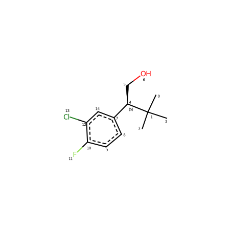 CC(C)(C)[C@H](CO)c1ccc(F)c(Cl)c1